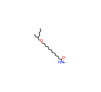 [CH2]NC(=O)CCCCCCCCCCCOCC(CC)CCCC